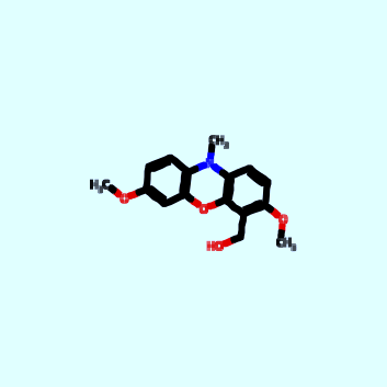 COc1ccc2c(c1)Oc1c(ccc(OC)c1CO)N2C